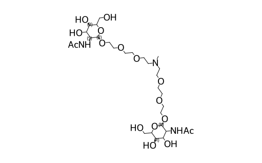 CC(=O)NC1C(O)[C@@H](O)C(CO)O[C@H]1OCCOCCOCCN(C)CCOCCOCCO[C@@H]1OC(CO)[C@H](O)C(O)[C@@H]1NC(C)=O